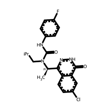 CC(C)CN(C(=O)Nc1ccc(F)cc1)[C@H](C)c1n[nH]c(=O)c2cc(Cl)ccc12